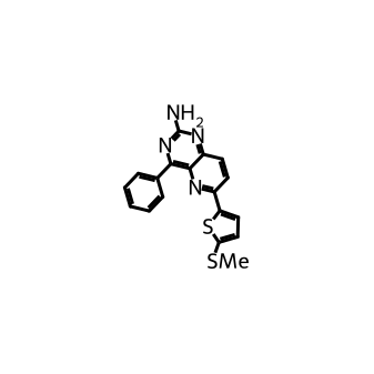 CSc1ccc(-c2ccc3nc(N)nc(-c4ccccc4)c3n2)s1